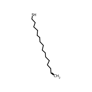 C=CCCCCCCCCCCCCCCS